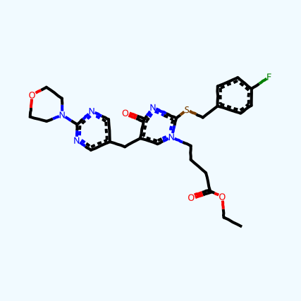 CCOC(=O)CCCn1cc(Cc2cnc(N3CCOCC3)nc2)c(=O)nc1SCc1ccc(F)cc1